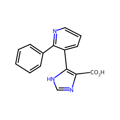 O=C(O)c1nc[nH]c1-c1cccnc1-c1ccccc1